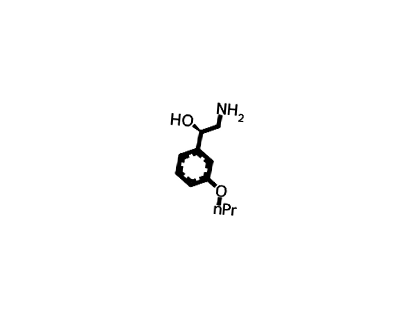 CCCOc1cccc([C@@H](O)CN)c1